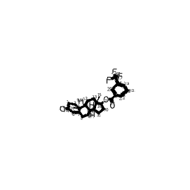 C[C@]12CCC(=O)C=C1CC[C@@H]1[C@H]2CC[C@]2(C)C(OC(=O)c3cccc(C(F)(F)F)c3)CC[C@@H]12